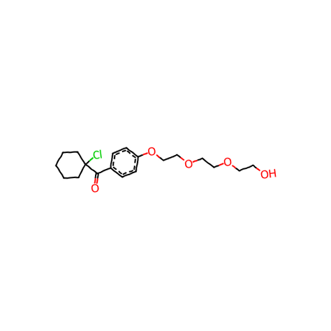 O=C(c1ccc(OCCOCCOCCO)cc1)C1(Cl)CCCCC1